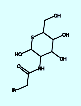 CC(C)CC(=O)NC1C(O)SC(CO)C(O)C1O